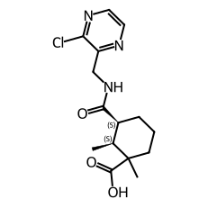 C[C@H]1[C@@H](C(=O)NCc2nccnc2Cl)CCCC1(C)C(=O)O